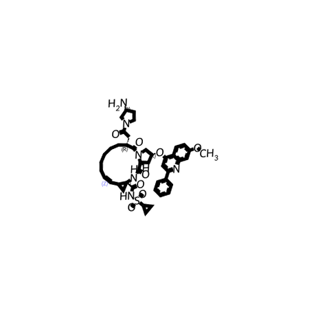 COc1ccc2c(O[C@@H]3C[C@H]4C(=O)N[C@]5(C(=O)NS(=O)(=O)C6CC6)CC5/C=C\CCCCC[C@H](CC(=O)N5CC[C@@H](N)C5)C(=O)N4C3)cc(-c3ccccc3)nc2c1